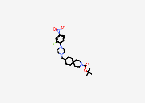 CC(C)(C)OC(=O)N1CCC2(CCC(CN3CCN(c4ccc([N+](=O)[O-])cc4F)CC3)CC2)CC1